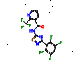 O=C(Nc1nc(-c2c(F)c(F)cc(F)c2F)ns1)c1cccnc1C(F)(F)F